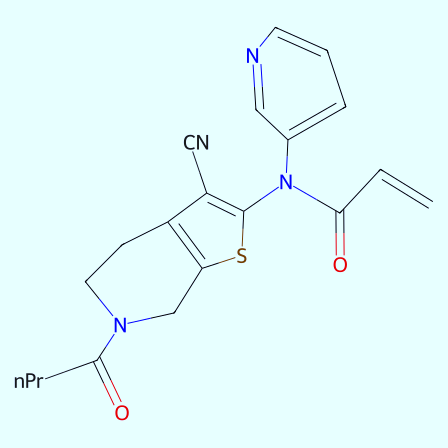 C=CC(=O)N(c1cccnc1)c1sc2c(c1C#N)CCN(C(=O)CCC)C2